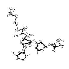 C[C@H](N)C(=O)Nc1cccc(Cn2cc(-c3cc(F)ccc3F)nc2[C@H](C(O)C(=O)NCCCNC(=O)O)C(C)(C)C)c1